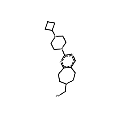 CC(C)CN1CCc2cnc(N3CCN(C4CCC4)CC3)nc2CC1